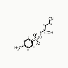 Cc1ccc(S(=O)(=O)OC[C@@H](O)CCC#N)cc1